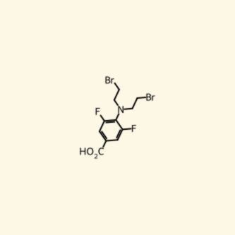 O=C(O)c1cc(F)c(N(CCBr)CCBr)c(F)c1